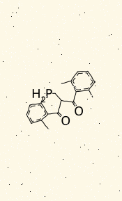 Cc1cccc(C)c1C(=O)C(CP)C(=O)c1c(C)cccc1C